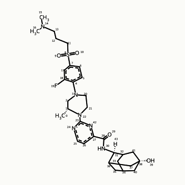 C[C@@H]1CN(c2ccc(S(=O)(=O)CCCN(C)C)cc2F)CCN1c1nccc(C(=O)N[C@H]2C3CC4CC2C[C@](O)(C4)C3)n1